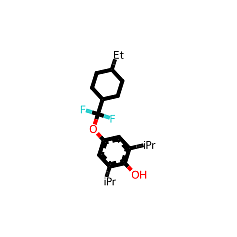 CCC1CCC(C(F)(F)Oc2cc(C(C)C)c(O)c(C(C)C)c2)CC1